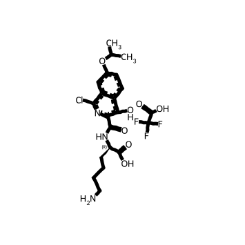 CC(C)Oc1ccc2c(O)c(C(=O)N[C@H](CCCCN)C(=O)O)nc(Cl)c2c1.O=C(O)C(F)(F)F